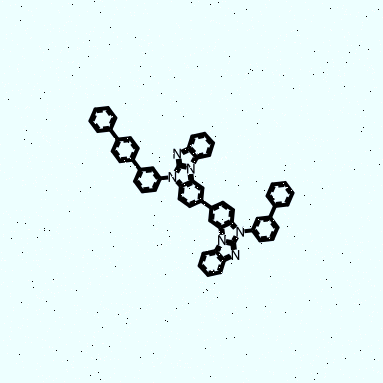 c1ccc(-c2ccc(-c3cccc(-n4c5ccc(-c6ccc7c(c6)n6c8ccccc8nc6n7-c6cccc(-c7ccccc7)c6)cc5n5c6ccccc6nc45)c3)cc2)cc1